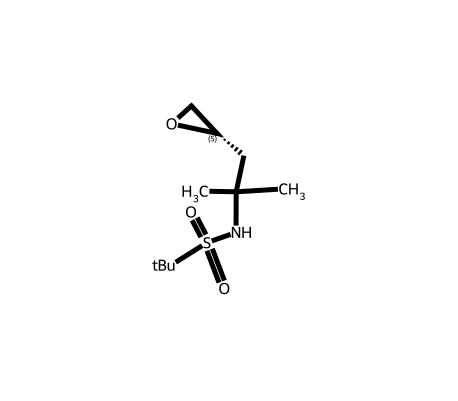 CC(C)(C[C@H]1CO1)NS(=O)(=O)C(C)(C)C